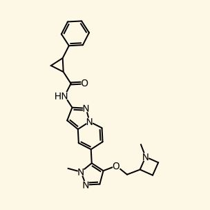 CN1CCC1COc1cnn(C)c1-c1ccn2nc(NC(=O)C3CC3c3ccccc3)cc2c1